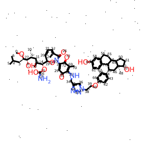 CO[C@H](CC(C)C)[C@@H](O)[C@H](C)CC(C)[C@@H](OC(N)O)C1/C=C\C=C(/C)C(=O)N(C2=CC(=O)C(NCc3cn(CCOc4ccc([C@H]5C[C@@]6(C)C(CC[C@@H]6O)C6CCc7cc(O)ccc7C65)cc4)nn3)=C(C)C2=O)O1